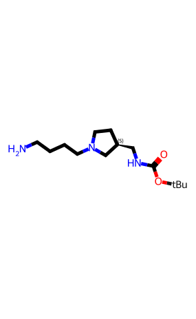 CC(C)(C)OC(=O)NC[C@@H]1CCN(CCCCN)C1